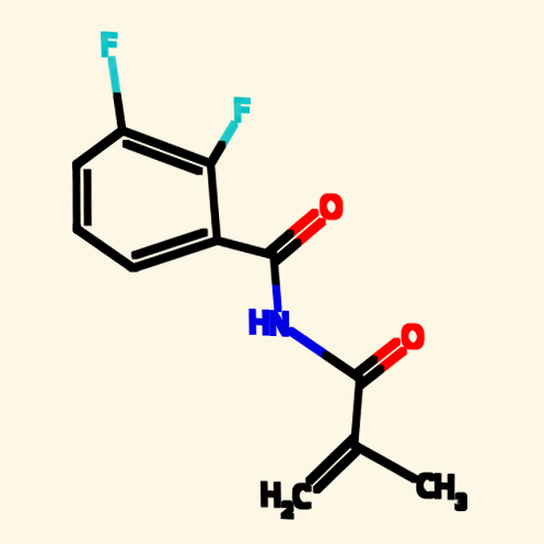 C=C(C)C(=O)NC(=O)c1cccc(F)c1F